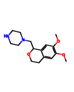 COc1cc2c(cc1OC)C(CN1CCNCC1)OCC2